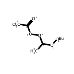 CCCCOC(C)OOC(=O)C(Cl)(Cl)Cl